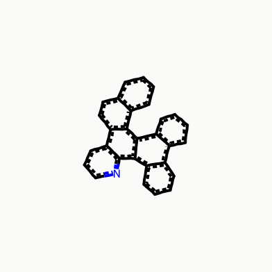 c1ccc2c(c1)ccc1c3cccnc3c3c4ccccc4c4ccccc4c3c21